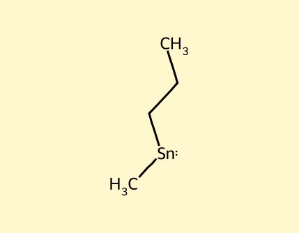 CC[CH2][Sn][CH3]